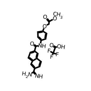 COC(=O)COc1ccc(NC(=O)c2ccc3cc(C(=N)N)ccc3c2)cc1.O=C(O)C(F)(F)F